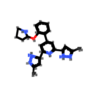 FC(F)(F)c1cc(-c2cc(-c3ccccc3OC3CCCN3)cc(-c3cc(C(F)(F)F)n[nH]3)n2)[nH]n1